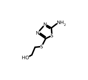 Nc1nnc(SCCO)s1